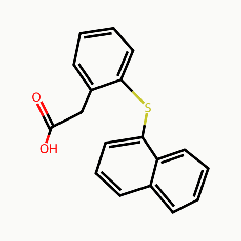 O=C(O)Cc1ccccc1Sc1cccc2ccccc12